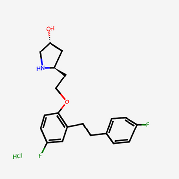 Cl.O[C@H]1CN[C@H](CCOc2ccc(F)cc2CCc2ccc(F)cc2)C1